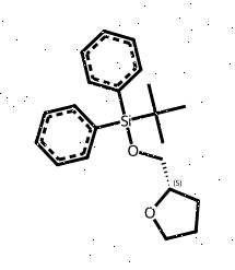 CC(C)(C)[Si](OC[C@@H]1CCCO1)(c1ccccc1)c1ccccc1